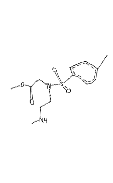 CNCCN(CC(=O)OC)S(=O)(=O)c1ccc(C)cc1